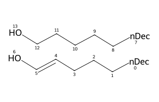 CCCCCCCCCCCCCC=CO.CCCCCCCCCCCCCCCO